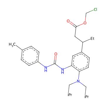 CCC(CC(=O)OCCl)c1ccc(N(CC(C)C)CC(C)C)c(NC(=O)Nc2ccc(C)cc2)c1